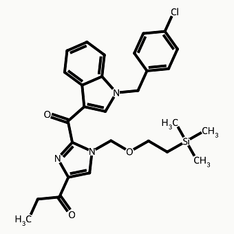 CCC(=O)c1cn(COCC[Si](C)(C)C)c(C(=O)c2cn(Cc3ccc(Cl)cc3)c3ccccc23)n1